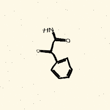 [NH]C(=O)C(=O)c1ccccc1